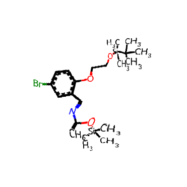 C=C(/N=C/c1cc(Br)ccc1OCCO[Si](C)(C)C(C)(C)C)O[Si](C)(C)C